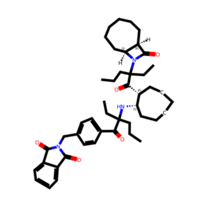 CCCC(CC)(N[C@H]1CCCCCC[C@H]1C(=O)C(CC)(CCC)N1C(=O)[C@@H]2CCCCCC[C@@H]21)C(=O)c1ccc(CN2C(=O)c3ccccc3C2=O)cc1